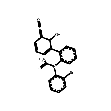 NC(=O)N(c1ccccc1Br)c1ccccc1C1=CC=CC(=C=O)C1O